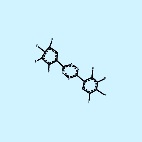 Fc1cc(-c2nnc(-c3cc(F)c(F)c(F)c3F)nn2)c(F)c(F)c1F